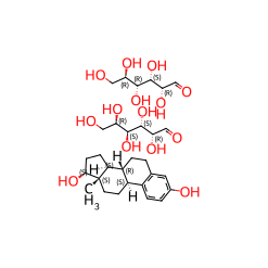 C[C@]12CC[C@@H]3c4ccc(O)cc4CC[C@H]3[C@@H]1CC[C@@H]2O.O=C[C@H](O)[C@@H](O)[C@@H](O)[C@H](O)CO.O=C[C@H](O)[C@@H](O)[C@H](O)[C@H](O)CO